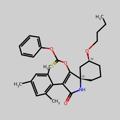 CCCCO[C@H]1CCC[C@@]2(C1)NC(=O)C(c1c(C)cc(C)cc1C)=C2OC(=S)Oc1ccccc1